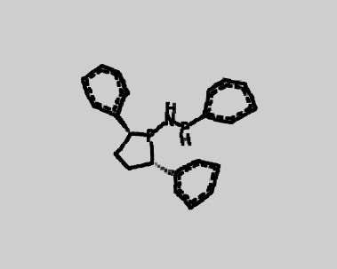 c1ccc(PNP2[C@H](c3ccccc3)CC[C@H]2c2ccccc2)cc1